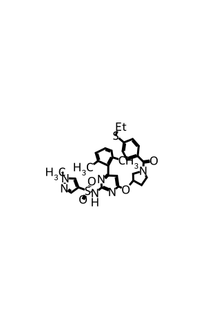 CCSc1ccc(C(=O)N2CCC(Oc3cc(-c4c(C)cccc4C)nc(NS(=O)(=O)c4cnn(C)c4)n3)C2)cc1